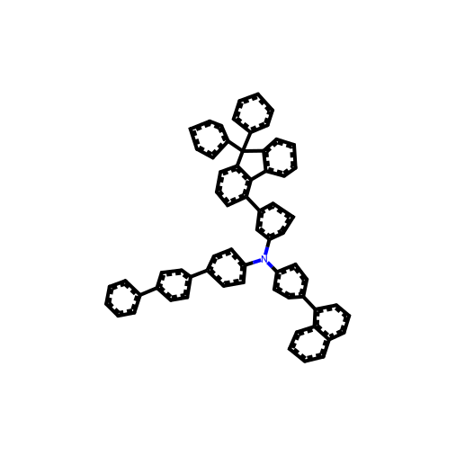 c1ccc(-c2ccc(-c3ccc(N(c4ccc(-c5cccc6ccccc56)cc4)c4cccc(-c5cccc6c5-c5ccccc5C6(c5ccccc5)c5ccccc5)c4)cc3)cc2)cc1